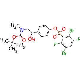 CN(CC(O)c1ccc(OS(=O)(=O)c2c(F)c(Br)cc(F)c2Br)cc1)C(=O)OC(C)(C)C